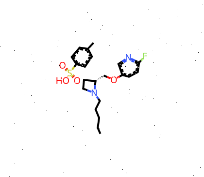 CCCCCN1CC[C@@H]1COc1ccc(F)nc1.Cc1ccc(S(=O)(=O)O)cc1